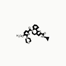 COc1ccc(C(=O)N2CCc3cc(C(=O)NC4CC4)sc3-c3ccccc32)nc1N1CCOCC1